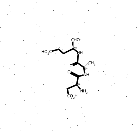 C[C@H](NC(=O)[C@@H](N)CC(=O)O)C(=O)N[C@H]([C]=O)CCC(=O)O